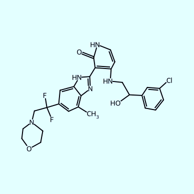 Cc1cc(C(F)(F)CN2CCOCC2)cc2[nH]c(-c3c(NCC(O)c4cccc(Cl)c4)cc[nH]c3=O)nc12